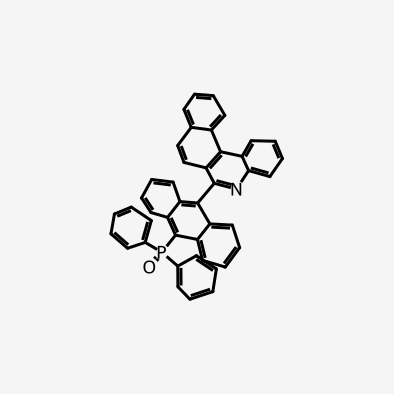 O=P(c1ccccc1)(c1ccccc1)c1c2ccccc2c(-c2nc3ccccc3c3c2ccc2ccccc23)c2ccccc12